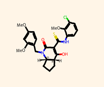 COc1ccc(CN2C(=O)C(C(=S)Nc3cccc(Cl)c3OC)=C(O)[C@@H]3CCC[C@@H]32)c(OC)c1